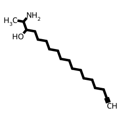 C#CCCCCCCCCCCCCCC(O)C(C)N